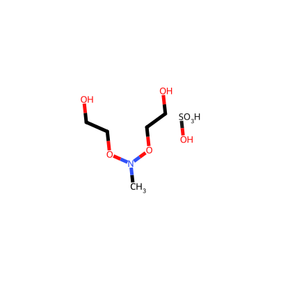 CN(OCCO)OCCO.O=S(=O)(O)O